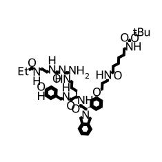 CCC(=O)NCCNC(=O)/N=C(/N)NCCC[C@@H](NC(=O)[C@H](c1cccc(OCCCNC(=O)CCCCCNC(=O)OC(C)(C)C)c1)N1Cc2ccccc2C1)C(=O)NCc1ccc(O)cc1